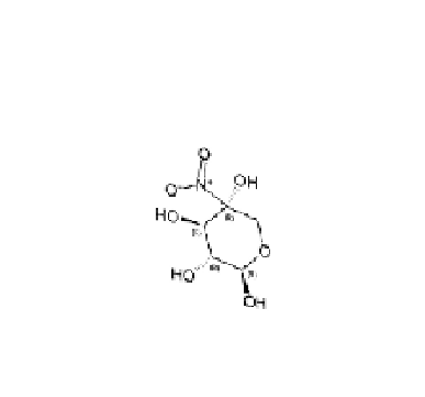 O=[N+]([O-])[C@@]1(O)CO[C@@H](O)[C@H](O)[C@H]1O